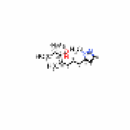 CN[C@H](C(=O)O)[C@H](O)[C@H](C)CCCc1ccnn1C